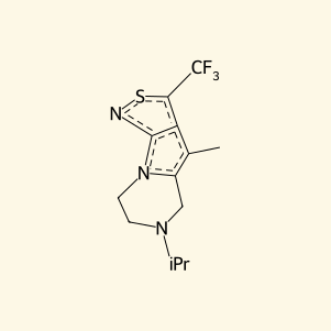 Cc1c2n(c3nsc(C(F)(F)F)c13)CCN(C(C)C)C2